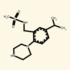 CC(C)c1ccc(N2CCNCC2)c(CNS(C)(=O)=O)c1